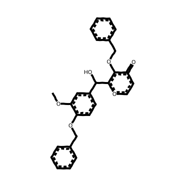 COc1cc(C(O)c2occc(=O)c2OCc2ccccc2)ccc1OCc1ccccc1